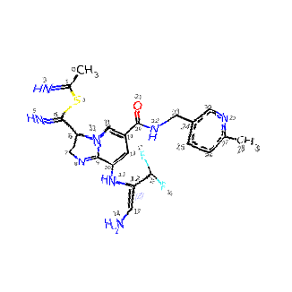 CC(=N)SC(=N)C1CN=C2C(N/C(=C\N)C(F)F)=CC(C(=O)NCc3ccc(C)nc3)=CN21